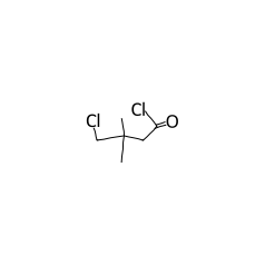 CC(C)(CCl)CC(=O)Cl